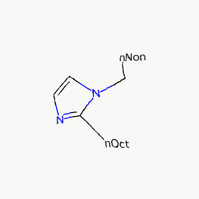 CCCCCCCCCCn1ccnc1CCCCCCCC